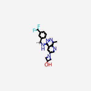 Cc1nnc(N[C@H](C)c2cccc(C(F)F)c2)c2cc(N3CC(O)C3)cnc12